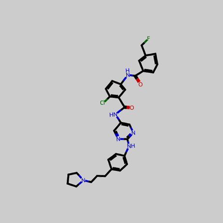 O=C(Nc1ccc(Cl)c(C(=O)Nc2cnc(Nc3ccc(CCCN4CCCC4)cc3)nc2)c1)c1cccc(CF)c1